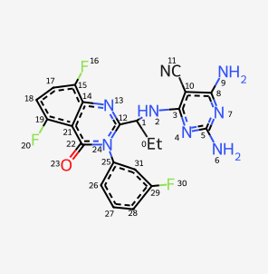 CCC(Nc1nc(N)nc(N)c1C#N)c1nc2c(F)ccc(F)c2c(=O)n1-c1cccc(F)c1